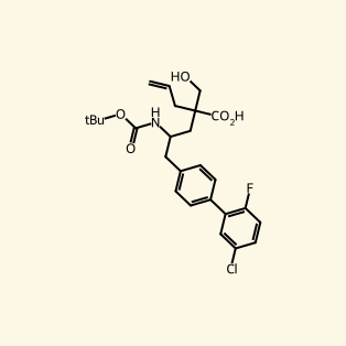 C=CCC(CO)(CC(Cc1ccc(-c2cc(Cl)ccc2F)cc1)NC(=O)OC(C)(C)C)C(=O)O